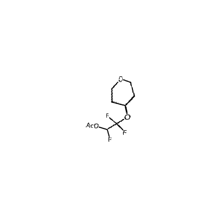 CC(=O)OC(F)C(F)(F)OC1CCOCC1